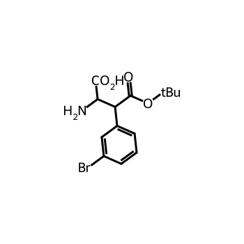 CC(C)(C)OC(=O)C(c1cccc(Br)c1)C(N)C(=O)O